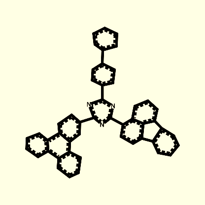 c1ccc(-c2ccc(-c3nc(-c4ccc5c6ccccc6c6ccccc6c5c4)nc(-c4ccc5c6c(cccc46)-c4ccccc4-5)n3)cc2)cc1